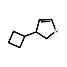 C1=CC(C2CCC2)C[N]1